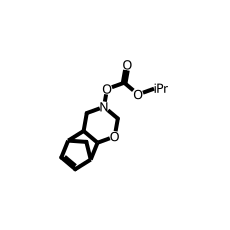 CC(C)OC(=O)ON1COC2C3C=CC(C3)C2C1